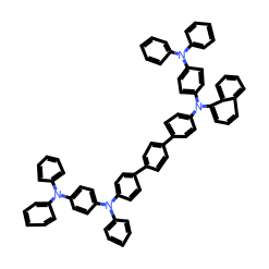 c1ccc(N(c2ccccc2)c2ccc(N(c3ccccc3)c3ccc(-c4ccc(-c5ccc(N(c6ccc(N(c7ccccc7)c7ccccc7)cc6)c6cccc7ccccc67)cc5)cc4)cc3)cc2)cc1